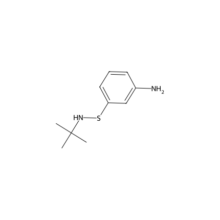 CC(C)(C)NSc1cccc(N)c1